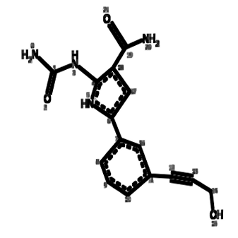 NC(=O)Nc1[nH]c(-c2cccc(C#CCO)c2)cc1C(N)=O